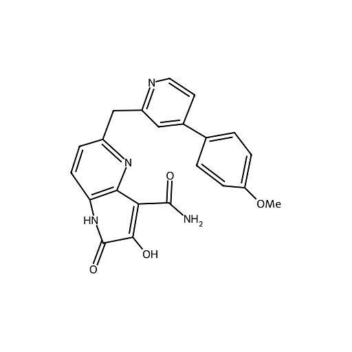 COc1ccc(-c2ccnc(Cc3ccc4[nH]c(=O)c(O)c(C(N)=O)c4n3)c2)cc1